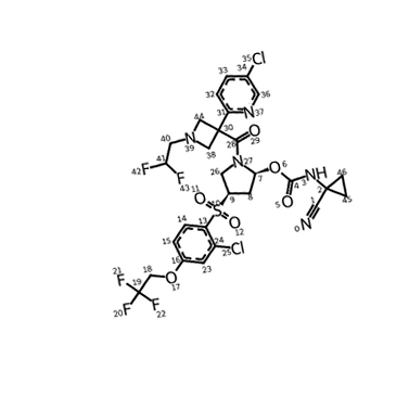 N#CC1(NC(=O)O[C@H]2C[C@@H](S(=O)(=O)c3ccc(OCC(F)(F)F)cc3Cl)CN2C(=O)C2(c3ccc(Cl)cn3)CN(CC(F)F)C2)CC1